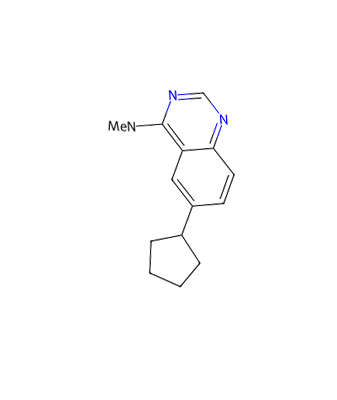 CNc1ncnc2ccc(C3CCCC3)cc12